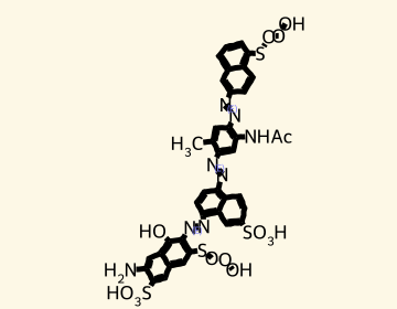 CC(=O)Nc1cc(/N=N/c2ccc(/N=N/c3c(SOOO)cc4cc(S(=O)(=O)O)c(N)cc4c3O)c3cc(S(=O)(=O)O)ccc23)c(C)cc1/N=N/c1ccc2c(SOOO)cccc2c1